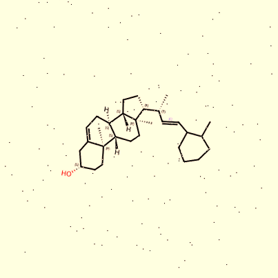 CC1CCCCC1/C=C/[C@@H](C)[C@H]1CC[C@H]2[C@@H]3CC=C4C[C@@H](O)CC[C@]4(C)[C@H]3CC[C@]12C